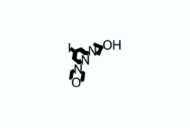 OC1CN(c2cc(I)cc(N3CCOCC3)n2)C1